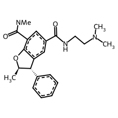 CNC(=O)c1cc(C(=O)NCCN(C)C)cc2c1O[C@H](C)[C@H]2c1ccccc1